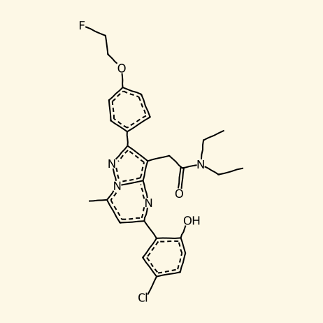 CCN(CC)C(=O)Cc1c(-c2ccc(OCCF)cc2)nn2c(C)cc(-c3cc(Cl)ccc3O)nc12